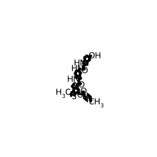 Cc1csc2c(OC(=O)N3CCN(C)CC3)cc3c(c12)CCN3C(=O)c1cc2cc(NC(=O)c3cc4cc(O)ccc4[nH]3)ccc2[nH]1